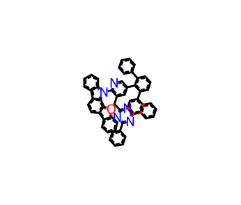 c1ccc(-c2nc(Cc3cc(-c4c(-c5ccccc5)cccc4-c4ccccc4)cnc3-n3c4ccccc4c4ccc5c6ccccc6oc5c43)nc(-c3ccccc3)n2)cc1